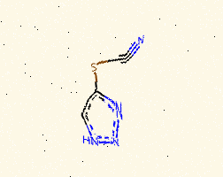 N#CSc1c[nH]nn1